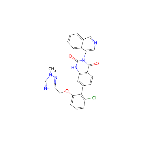 Cn1cnc(COc2cccc(Cl)c2-c2ccc3c(=O)n(-c4cncc5ccccc45)c(=O)[nH]c3c2)n1